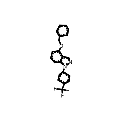 FC(F)(F)c1ccc(-n2ncc3c(OCc4ccccc4)cccc32)cc1